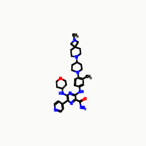 Cc1cc(Nc2nc(NC3CCOCC3)c(-c3ccncc3)nc2C(N)=O)ccc1N1CCC(N2CCC3(CC2)CN(C)C3)CC1